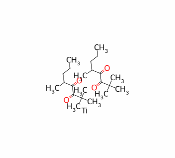 CCCC(C)C(=O)C(=O)C(C)(C)C.CCCC(C)C(=O)C(=O)C(C)(C)C.[Ti]